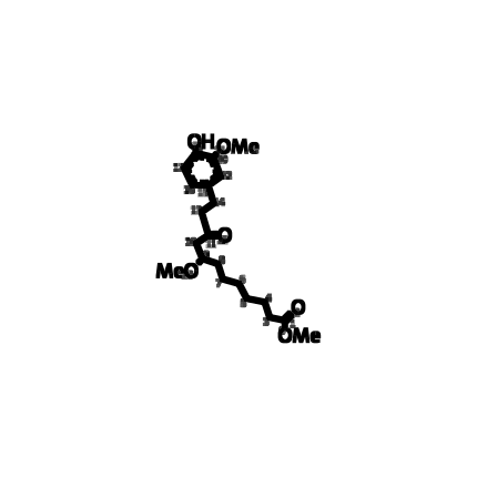 COC(=O)CCCCCCC(CC(=O)CCc1ccc(O)c(OC)c1)OC